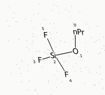 CCCO[Si](F)(F)F